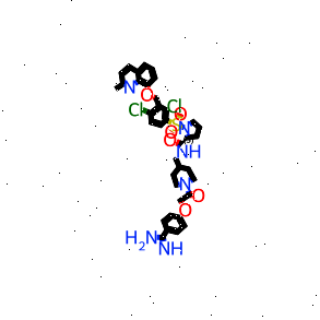 Cc1ccc2cccc(OCc3c(Cl)ccc(S(=O)(=O)N4CCC[C@H]4C(=O)NCC4CCN(C(=O)COc5ccc(C(=N)N)cc5)CC4)c3Cl)c2n1